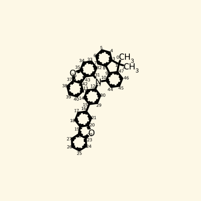 CC1(C)c2ccccc2-c2c(N(c3ccc(-c4ccc5c(c4)oc4ccccc45)cc3)c3cccc4oc5ccccc5c34)cccc21